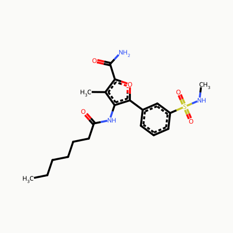 CCCCCCC(=O)Nc1c(-c2cccc(S(=O)(=O)NC)c2)oc(C(N)=O)c1C